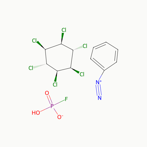 Cl[C@H]1[C@H](Cl)[C@@H](Cl)[C@@H](Cl)[C@H](Cl)[C@H]1Cl.N#[N+]c1ccccc1.O=P([O-])(O)F